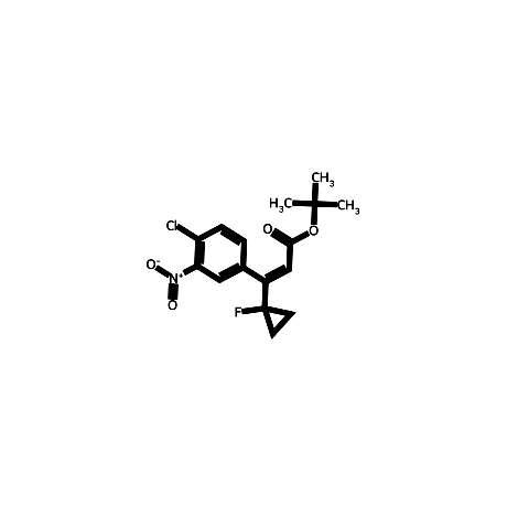 CC(C)(C)OC(=O)/C=C(\c1ccc(Cl)c([N+](=O)[O-])c1)C1(F)CC1